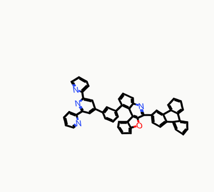 c1ccc(-c2cc(-c3cccc(-c4cccc5nc(-c6ccc7c8ccccc8c8ccccc8c7c6)c6oc7ccccc7c6c45)c3)cc(-c3ccccn3)n2)nc1